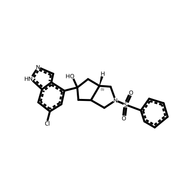 O=S(=O)(c1ccccc1)N1CC2CC(O)(c3cc(Cl)cc4[nH]ncc34)C[C@@H]2C1